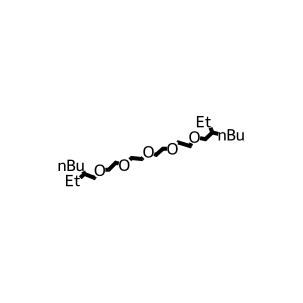 CCCCC(CC)COCCOCCOCCOCCOCC(CC)CCCC